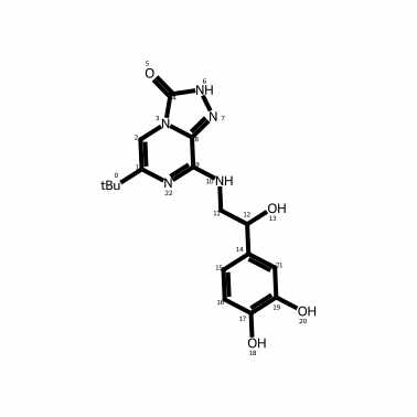 CC(C)(C)c1cn2c(=O)[nH]nc2c(NCC(O)c2ccc(O)c(O)c2)n1